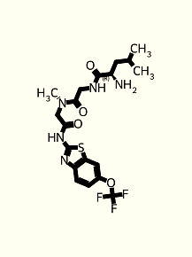 CC(C)C[C@@H](N)C(=O)NCC(=O)N(C)CC(=O)Nc1nc2ccc(OC(F)(F)F)cc2s1